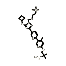 Cc1cc(OCC(C)(C)C(=O)O)ncc1-c1ccc(-c2nc(OC3CCC3)n(COCC[Si](C)(C)C)n2)cn1